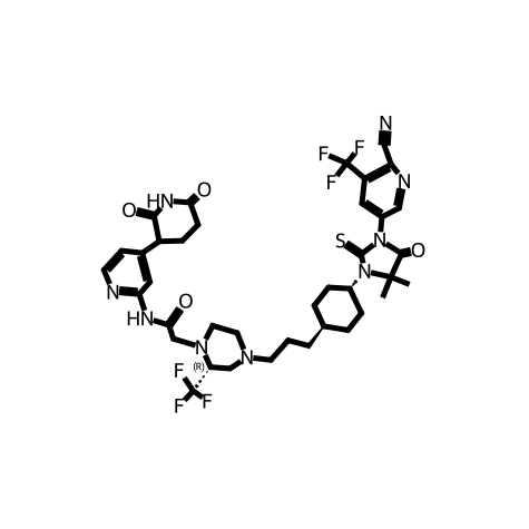 CC1(C)C(=O)N(c2cnc(C#N)c(C(F)(F)F)c2)C(=S)N1[C@H]1CC[C@H](CCCN2CCN(CC(=O)Nc3cc(C4CCC(=O)NC4=O)ccn3)[C@@H](C(F)(F)F)C2)CC1